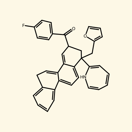 O=C(c1ccc(F)cc1)C1C=c2c(ccc3c2=CCc2ccccc2-3)C(Cc2ccco2)(C2=CC=CC=CN2)C1